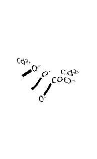 C[O-].C[O-].O=C([O-])[O-].[Cd+2].[Cd+2]